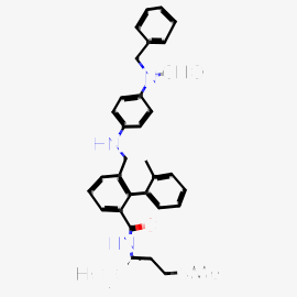 CSCC[C@H](NC(=O)c1cccc(CNc2ccc(N(C=O)Cc3ccccc3)cc2)c1-c1ccccc1C)C(=O)O